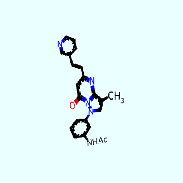 CC(=O)Nc1cccc(-n2cc(C)c3nc(/C=C/c4cccnc4)cc(=O)n32)c1